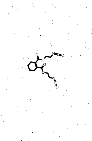 O=C=NCCOC(=O)C1=C(C(=O)OCCN=C=O)CCCC1